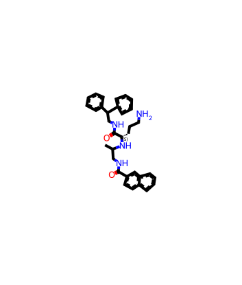 CC(CNC(=O)c1ccc2ccccc2c1)N[C@@H](CCCN)C(=O)NCC(c1ccccc1)c1ccccc1